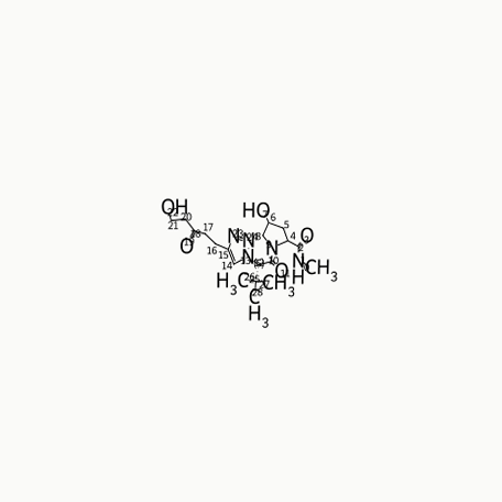 CNC(=O)C1CC(O)CN1C(=O)[C@@H](n1cc(CCC(=O)CCO)nn1)C(C)(C)C